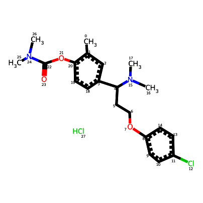 Cc1cc(C(CCOc2ccc(Cl)cc2)N(C)C)ccc1OC(=O)N(C)C.Cl